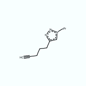 C#CCCCc1cn(C(C)C)nn1